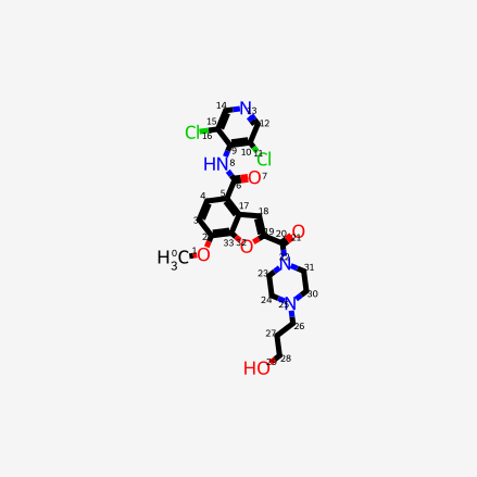 COc1ccc(C(=O)Nc2c(Cl)cncc2Cl)c2cc(C(=O)N3CCN(CCCO)CC3)oc12